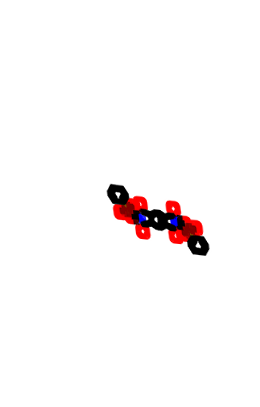 O=C1C2C3C=CC(C2C(=O)N1OS(=O)(=O)c1ccccc1)C1C(=O)N(OS(=O)(=O)c2ccccc2)C(=O)C31